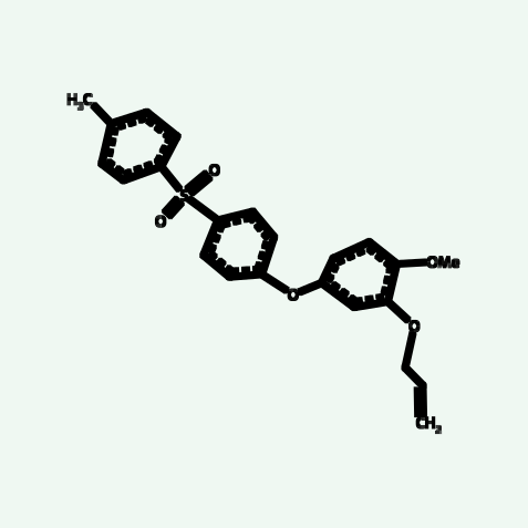 C=CCOc1cc(Oc2ccc(S(=O)(=O)c3ccc(C)cc3)cc2)ccc1OC